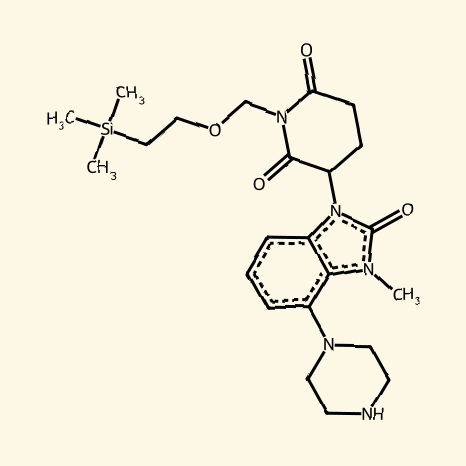 Cn1c(=O)n(C2CCC(=O)N(COCC[Si](C)(C)C)C2=O)c2cccc(N3CCNCC3)c21